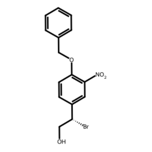 O=[N+]([O-])c1cc([C@H](Br)CO)ccc1OCc1ccccc1